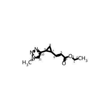 CCOC(=O)/C=C/C1CC1c1cn(C)nn1